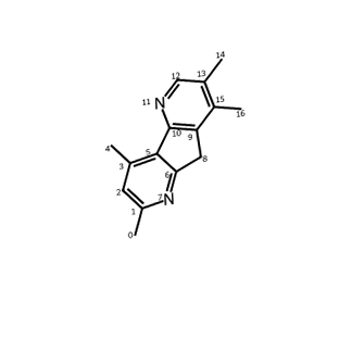 Cc1cc(C)c2c(n1)Cc1c-2ncc(C)c1C